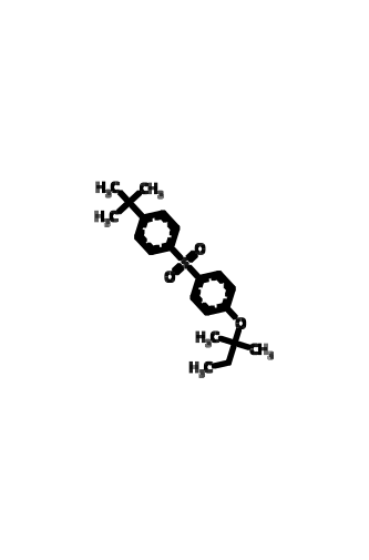 CCC(C)(C)Oc1ccc(S(=O)(=O)c2ccc(C(C)(C)C)cc2)cc1